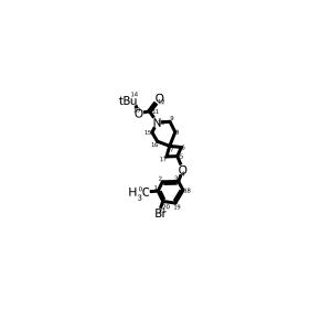 Cc1cc(OC2CC3(CCN(C(=O)OC(C)(C)C)CC3)C2)ccc1Br